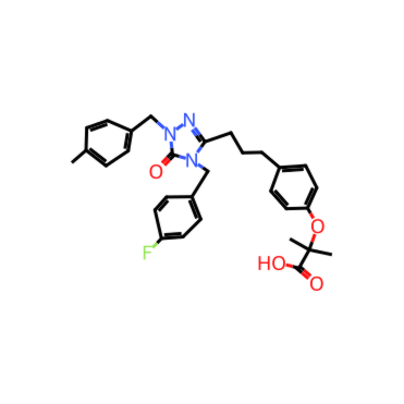 Cc1ccc(Cn2nc(CCCc3ccc(OC(C)(C)C(=O)O)cc3)n(Cc3ccc(F)cc3)c2=O)cc1